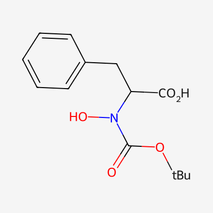 CC(C)(C)OC(=O)N(O)C(Cc1ccccc1)C(=O)O